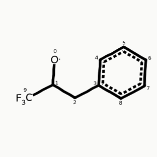 [O]C(Cc1ccccc1)C(F)(F)F